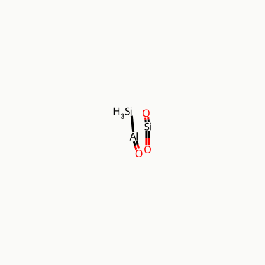 O=[Si]=O.[O]=[Al][SiH3]